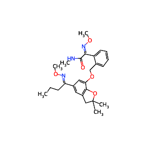 CCC/C(=N\OC)c1cc2c(c(OCc3ccccc3/C(=N\OC)C(=O)NC)c1)OC(C)(C)C2